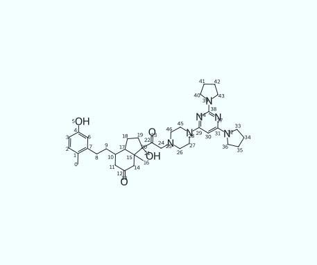 Cc1ccc(O)cc1CCC1CC(=O)CC2(C)C1CCC2(O)C(=O)CN1CCN(c2cc(N3CCCC3)nc(N3CCCC3)n2)CC1